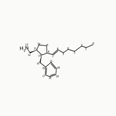 CCCCCC/C=C/C1CC[C@H](CN)[C@@H]1Cc1ccccc1